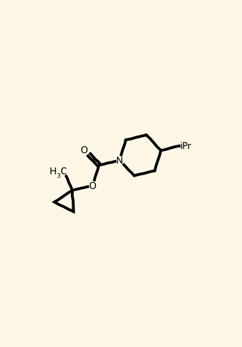 CC(C)C1CCN(C(=O)OC2(C)CC2)CC1